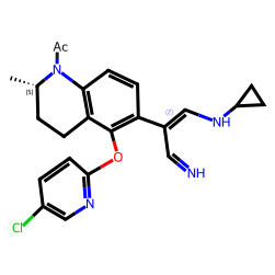 CC(=O)N1c2ccc(/C(C=N)=C/NC3CC3)c(Oc3ccc(Cl)cn3)c2CC[C@@H]1C